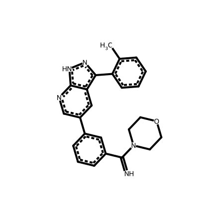 Cc1ccccc1-c1n[nH]c2ncc(-c3cccc(C(=N)N4CCOCC4)c3)cc12